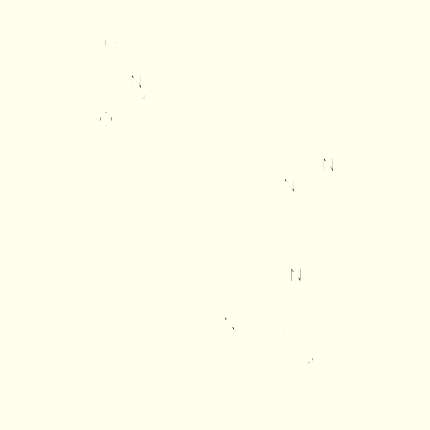 CSc1nccc(-n2ncc3ccc([N+](=O)[O-])cc32)n1